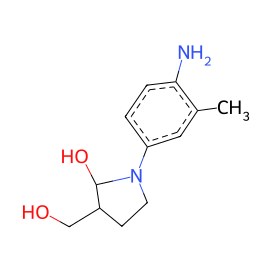 Cc1cc(N2CCC(CO)C2O)ccc1N